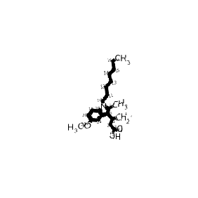 [CH2]C(CC(=O)O)c1c(C)n(CCCCCCCC)c2ccc(OC)cc12